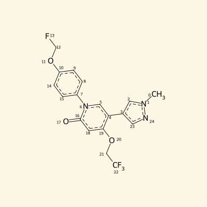 Cn1cc(-c2cn(-c3ccc(OCF)cc3)c(=O)cc2OCC(F)(F)F)cn1